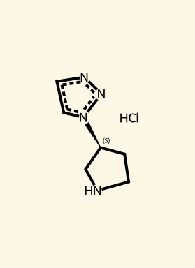 Cl.c1cn([C@H]2CCNC2)nn1